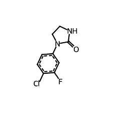 O=C1NCCN1c1ccc(Cl)c(F)c1